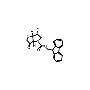 O=C1CO[C@@H]2[C@H](Cl)CN(C(=O)OCC3c4ccccc4-c4ccccc43)[C@H]12